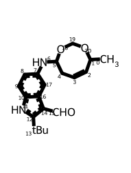 CC1/C=C\CC(Nc2ccc3[nH]c(C(C)(C)C)c(C=O)c3c2)OCO1